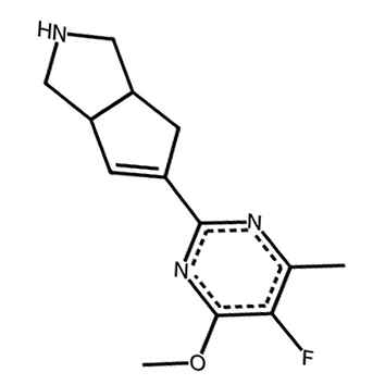 COc1nc(C2=CC3CNCC3C2)nc(C)c1F